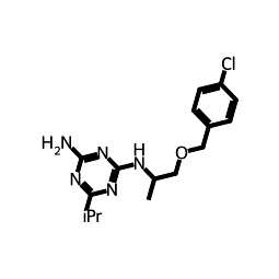 CC(COCc1ccc(Cl)cc1)Nc1nc(N)nc(C(C)C)n1